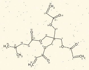 C=CC(=O)OCC(COC(=O)C=C)(COC(=O)C=C)COC(=O)CCN(C)C